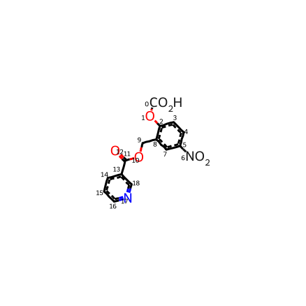 O=C(O)Oc1ccc([N+](=O)[O-])cc1COC(=O)c1cccnc1